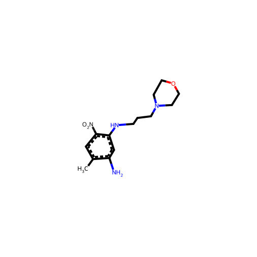 Cc1cc([N+](=O)[O-])c(NCCCN2CCOCC2)cc1N